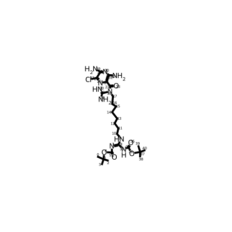 CC(C)(C)OC(=O)N=C(NCCCCCCCCN(C(=N)N)C(=O)c1nc(Cl)c(N)nc1N)NC(=O)OC(C)(C)C